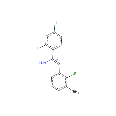 Bc1cccc(/C=C(\N)c2ccc(Cl)cc2F)c1F